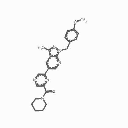 COc1ccc(Cn2nc(C)c3cc(-c4cncc(C(=O)N5CCCCC5)n4)cnc32)cc1